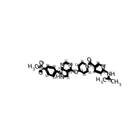 CC(C)Nc1ccc(C(=O)N2CCC(Oc3ncnc4c3CNN4c3ccc(S(C)(=O)=O)cc3)CC2)cn1